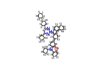 c1ccc(-c2ccc(-c3cc(-c4ccccc4)nc(-n4c5cc(-c6ccc7c(c6)Oc6ccccc6N7c6ccccc6)ccc5c5c6ccccc6ccc54)n3)cc2)cc1